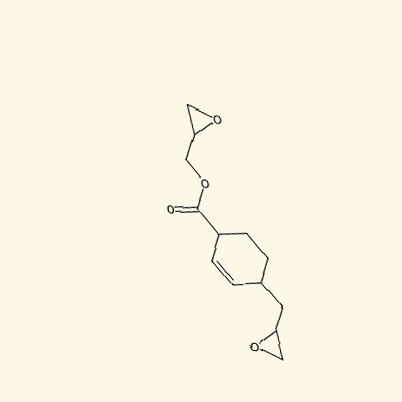 O=C(OCC1CO1)C1C=CC(CC2CO2)CC1